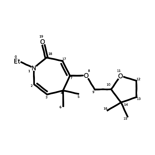 CCN1C=CC(C)(C)C(OCC2OCCC2(C)C)=CC1=O